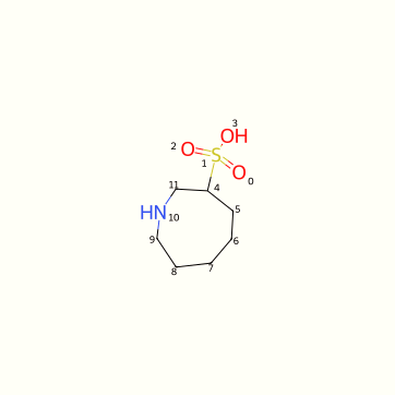 O=S(=O)(O)C1CCCCCNC1